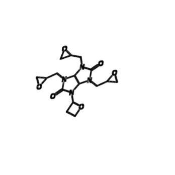 O=C1N(CC2CO2)C2C(N1CC1CO1)N(C1CCO1)C(=O)N2CC1CO1